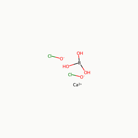 OB(O)O.[Ca+2].[O-]Cl.[O-]Cl